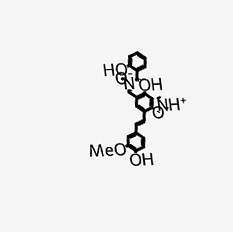 C=[NH+][O-].COc1cc(/C=C/c2ccc(O)c(/C=[N+](/[O-])Cc3ccccc3O)c2)ccc1O